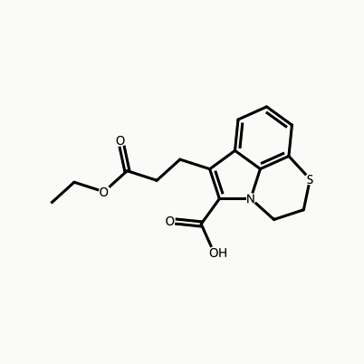 CCOC(=O)CCc1c(C(=O)O)n2c3c(cccc13)SCC2